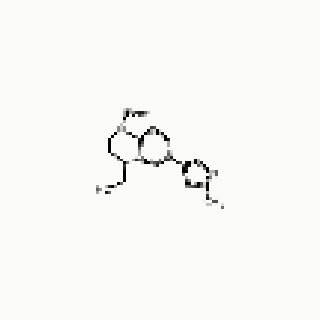 CCCC(C)N1CCC(CO)c2cc(-c3cnn(C)c3)ccc21